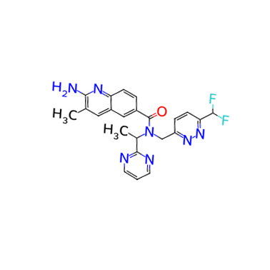 Cc1cc2cc(C(=O)N(Cc3ccc(C(F)F)nn3)C(C)c3ncccn3)ccc2nc1N